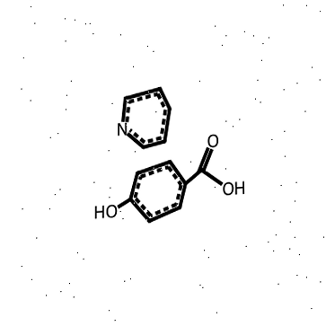 O=C(O)c1ccc(O)cc1.c1ccncc1